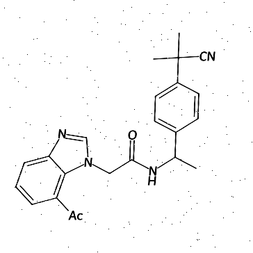 CC(=O)c1cccc2ncn(CC(=O)NC(C)c3ccc(C(C)(C)C#N)cc3)c12